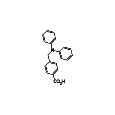 O=C(O)c1ccc(CN(c2ccccc2)c2ccccc2)cc1